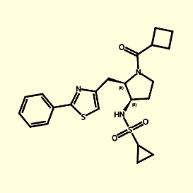 O=C(C1CCC1)N1CC[C@@H](NS(=O)(=O)C2CC2)[C@H]1Cc1csc(-c2ccccc2)n1